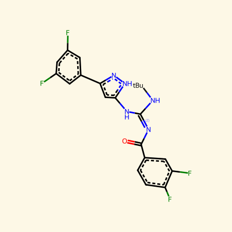 CC(C)(C)N/C(=N/C(=O)c1ccc(F)c(F)c1)Nc1cc(-c2cc(F)cc(F)c2)n[nH]1